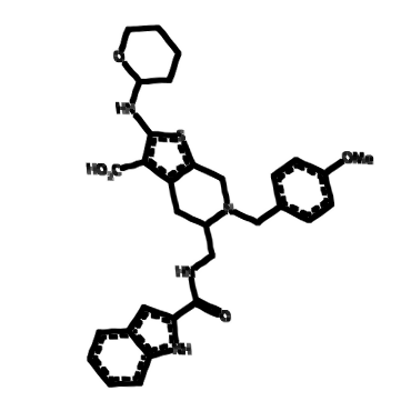 COc1ccc(CN2Cc3sc(NC4CCCCO4)c(C(=O)O)c3CC2CNC(=O)c2cc3ccccc3[nH]2)cc1